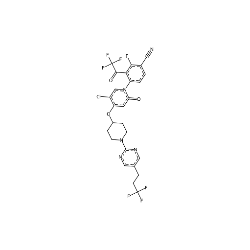 N#Cc1ccc(-n2cc(Cl)c(OC3CCN(c4ncc(CCC(F)(F)F)cn4)CC3)cc2=O)c(C(=O)C(F)(F)F)c1F